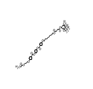 C=CC(=O)OCCCOc1ccc(C(=O)Oc2ccc(OC(=O)c3ccc(OCCCCCCCCOC(=O)CCC(=O)OC4CC(C)(C)N(C)C(C)(C)C4)cc3)cc2)cc1